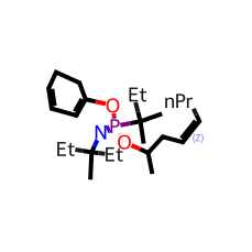 CCC/C=C\CC(C)OP(=NC(C)(CC)CC)(OC1=CC=CCC1)C(C)(C)CC